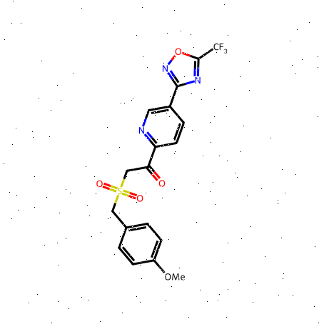 COc1ccc(CS(=O)(=O)CC(=O)c2ccc(-c3noc(C(F)(F)F)n3)cn2)cc1